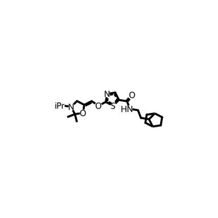 CC(C)N1C/C(=C/Oc2ncc(C(=O)NCCC3C4CCC3CC4)s2)OC1(C)C